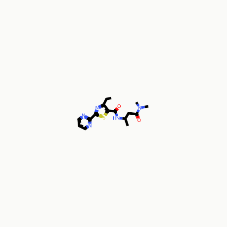 CCc1nc(-c2ncccn2)sc1C(=O)NC(C)CC(=O)N(C)C